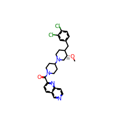 CO[C@@H]1CN(C2CCN(C(=O)c3ccc4cnccc4n3)CC2)CCC1Cc1ccc(Cl)c(Cl)c1